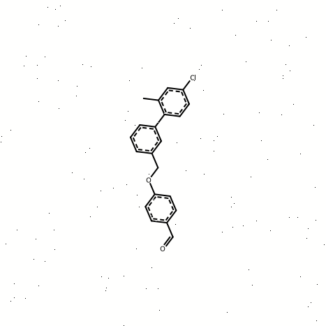 Cc1cc(Cl)ccc1-c1cccc(COc2ccc(C=O)cc2)c1